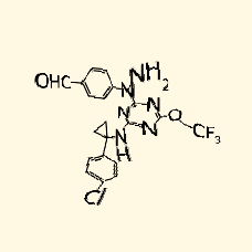 NN(c1ccc(C=O)cc1)c1nc(NC2(c3ccc(Cl)cc3)CC2)nc(OCC(F)(F)F)n1